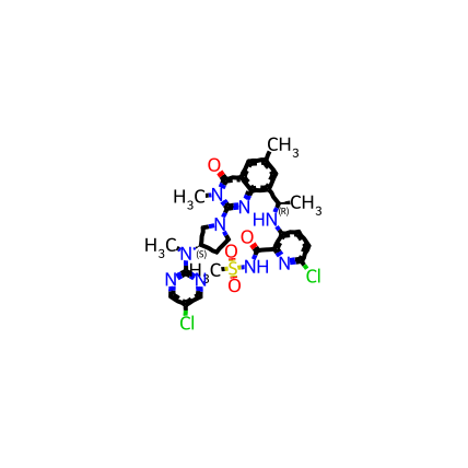 Cc1cc([C@@H](C)Nc2ccc(Cl)nc2C(=O)NS(C)(=O)=O)c2nc(N3CC[C@H](N(C)c4ncc(Cl)cn4)C3)n(C)c(=O)c2c1